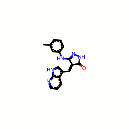 Cc1cccc(NC2=NNC(=O)C2=Cc2c[nH]c3ncccc23)c1